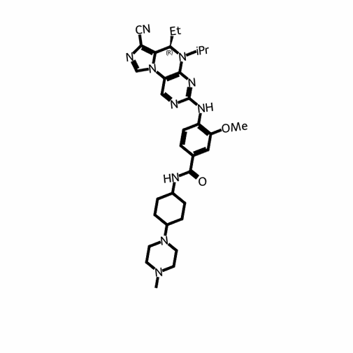 CC[C@@H]1c2c(C#N)ncn2-c2cnc(Nc3ccc(C(=O)NC4CCC(N5CCN(C)CC5)CC4)cc3OC)nc2N1C(C)C